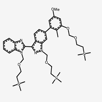 COc1cc(OCOCC[Si](C)(C)C)c(C)c(-c2ccc3c(-c4nc5ccccc5n4COCC[Si](C)(C)C)nn(COCC[Si](C)(C)C)c3c2)c1